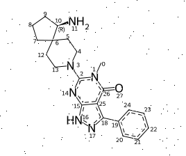 Cn1c(N2CCC3(CCC[C@H]3N)CC2)nc2[nH]nc(-c3ccccc3)c2c1=O